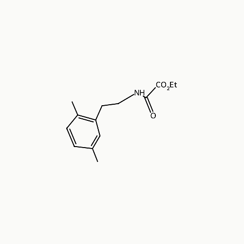 CCOC(=O)C(=O)NCCc1cc(C)ccc1C